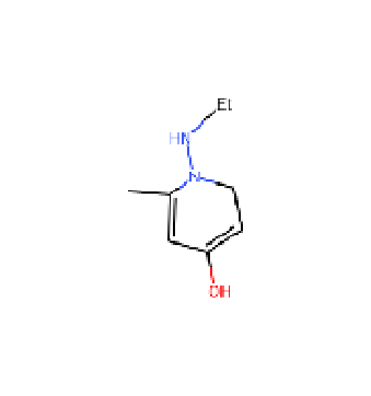 CCNN1CC=C(O)C=C1C